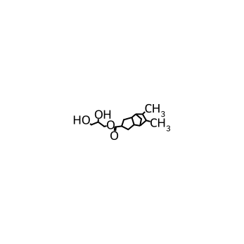 CC1C(C)C2CC1C1CC(C(=O)OCC(O)CO)CC21